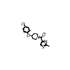 Cc1nc(C(=O)N2CCC(Oc3ccc(Cl)cc3)CC2)cs1